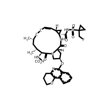 C[C@@H]1CCC=C[C@@H]2C[C@@]2(C(=O)NS(=O)(=O)C2(CF)CC2)NC(=O)[C@@H]2C[C@@H](Oc3nc4c(c5ccccc35)OCCC4)CN2C(=O)[C@@H](NC(=O)O)[C@H](C)C1